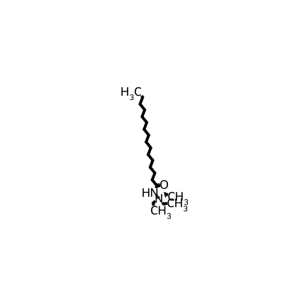 CCCCCCCCCCCCCCCC(=O)N[N+](CC)(CC)CC